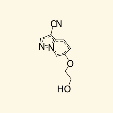 N#Cc1cnn2cc(OCCO)ccc12